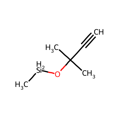 C#CC(C)(C)O[SiH2]C